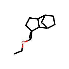 CCOC=C1CCC2C3CCC(C3)C12